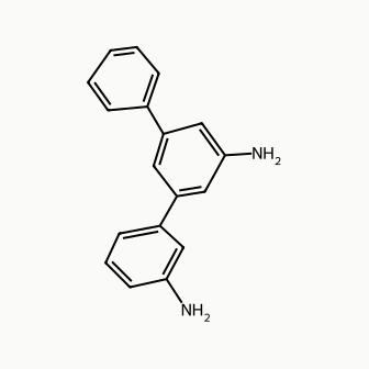 Nc1cccc(-c2cc(N)cc(-c3ccccc3)c2)c1